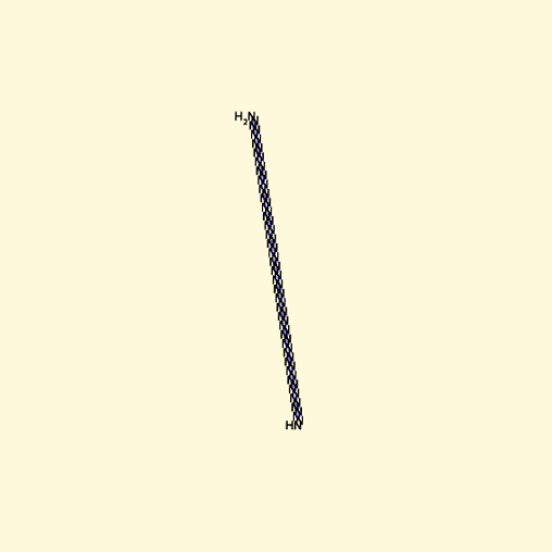 N=N/N=N/N=N/N=N/N=N/N=N/N=N/N=N/N=N/N=N/N=N/N=N/N=N/N=N/N=N/N=N/N=N/N=N/N=N/N=N/N=N/N=N/N=N/N=N/N=N/N=N/N=N/N=N/N=N/N=N/N=N/N=N/N=N/N=N/N